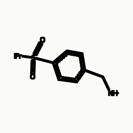 CC(C)S(=O)(=O)c1ccc(C[NH])cc1